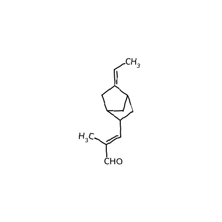 CC=C1CC2CC1CC2C=C(C)C=O